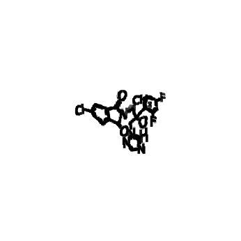 C[C@@H](N1C(=O)c2ccc(Cl)cc2C1=O)C(O)(Cn1cncn1)c1ccc(F)cc1F